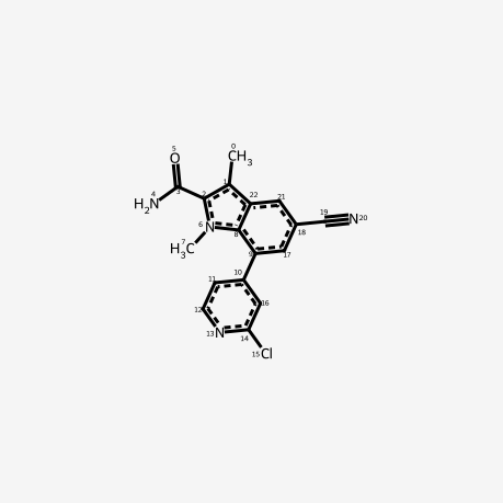 Cc1c(C(N)=O)n(C)c2c(-c3ccnc(Cl)c3)cc(C#N)cc12